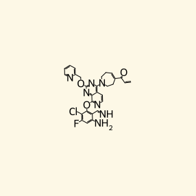 C=CC(=O)C1=CCCN(c2nc(OCc3ccccn3)nc3c(Oc4c(Cl)c(F)cc(N)c4C=N)nccc23)CC1